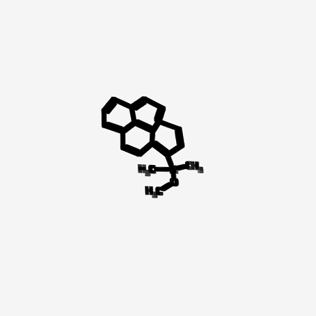 CO[Si](C)(C)c1ccc2ccc3cccc4ccc1c2c34